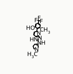 CCN1CCC[C@@H](Nc2nc3nc(-c4c(C)cc(C(F)(F)F)cc4O)ccc3[nH]2)C1